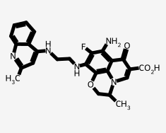 Cc1cc(NCCNc2c(F)c(N)c3c(=O)c(C(=O)O)cn4c3c2OCC4C)c2ccccc2n1